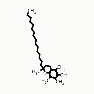 CCCCCCCCCCCCCCCCC1(C)CCc2c(C)c(O)c(C)c(C)c2O1